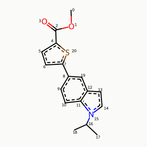 COC(=O)c1ccc(-c2ccc3c(ccn3C(C)C)c2)s1